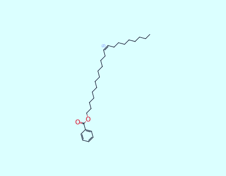 CCCCCCCC/C=C\CCCCCCCCCCCCOC(=O)c1ccccc1